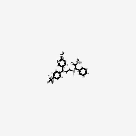 CNC(=O)[C@H](NCC[C@@H](c1ccc(C(F)(F)F)cc1)c1ccc(OC)nc1)c1ccccc1